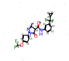 CC1=NN(c2ccc(OC(F)F)cc2)C(=O)C1C(=O)Nc1cccc(C(F)(F)C2CC2)c1